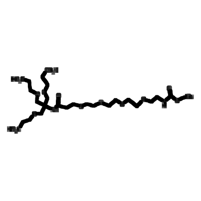 CC(C)(C)OC(=O)NCCOCCOCCOCCOCCC(=O)NC(COCCC(=O)O)(COCCC(=O)O)COCCC(=O)O